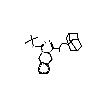 CC(C)(C)OC(=O)N1Cc2ccccc2C[C@@H]1C(=O)NCC12CC3CC(CC(C3)C1)C2